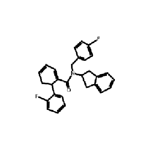 O=C(C1=CC=CCC1c1ccccc1F)N(Cc1ccc(F)cc1)C1Cc2ccccc2C1